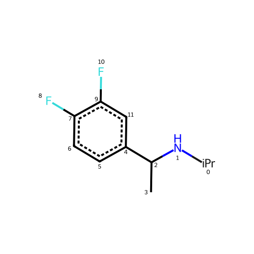 CC(C)NC(C)c1ccc(F)c(F)c1